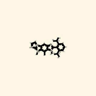 Cc1c2c(cc3c1n(C)c1nccn31)nc(-c1c(C(C)C)cccc1C(C)C)n2C